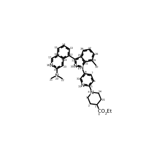 CCOC(=O)C1CCN(c2ccc(-n3nc(-c4cccc5cnc(N(C)C)cc45)c4cccc(C)c43)cn2)CC1